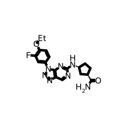 CCOc1ccc(-n2nnc3cnc(N[C@@H]4CC[C@@H](C(N)=O)C4)nc32)cc1F